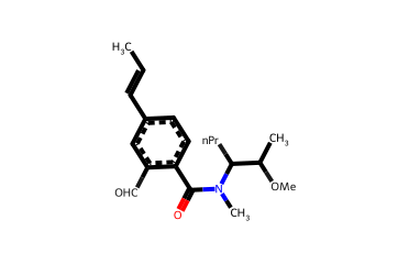 C/C=C/c1ccc(C(=O)N(C)C(CCC)C(C)OC)c(C=O)c1